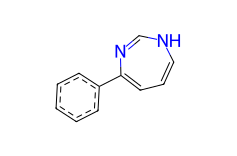 C1=CNC=NC(c2ccccc2)=C1